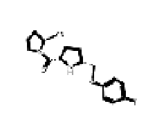 N#C[C@@H]1CCCN1C(=O)[C@@H]1CC[C@H](COc2ccc(F)cc2)N1